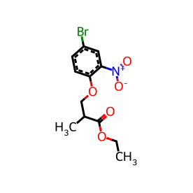 CCOC(=O)C(C)COc1ccc(Br)cc1[N+](=O)[O-]